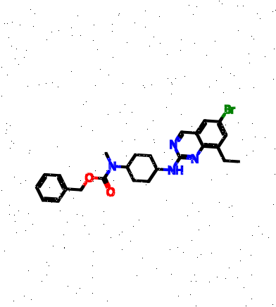 CCc1cc(Br)cc2cnc(NC3CCC(N(C)C(=O)OCc4ccccc4)CC3)nc12